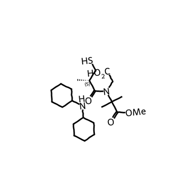 C1CCC(NC2CCCCC2)CC1.COC(=O)C(C)(C)N(CC(=O)O)C(=O)[C@H](C)CS